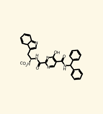 O=C(N[C@H](CC1=CN=C2C=CC=CC12)C(=O)O)c1ncc(C(=O)NC(c2ccccc2)c2ccccc2)c(O)n1